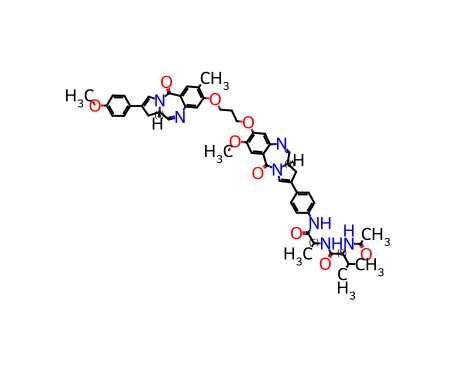 COc1ccc(C2=CN3C(=O)c4cc(C)c(OCCCOc5cc6c(cc5OC)C(=O)N5C=C(c7ccc(NC(=O)[C@H](C)NC(=O)[C@@H](NC(C)=O)C(C)C)cc7)C[C@H]5C=N6)cc4N=C[C@@H]3C2)cc1